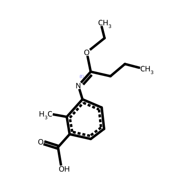 CCC/C(=N\c1cccc(C(=O)O)c1C)OCC